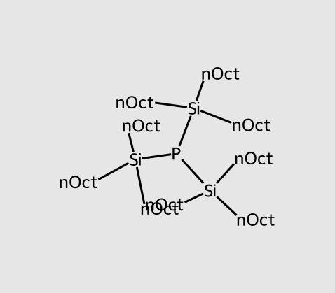 CCCCCCCC[Si](CCCCCCCC)(CCCCCCCC)P([Si](CCCCCCCC)(CCCCCCCC)CCCCCCCC)[Si](CCCCCCCC)(CCCCCCCC)CCCCCCCC